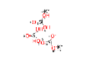 O=[Si](O)O.O=[Si](O)O.O=[Si]([O-])[O-].[K+].[K+]